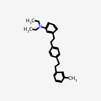 CCN(CC)c1cccc(CCc2ccc(CCc3cccc(C)c3)cc2)c1